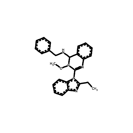 CCc1nc2ccccc2n1C1=Nc2ccccc2C(NCc2ccccc2)N1OC